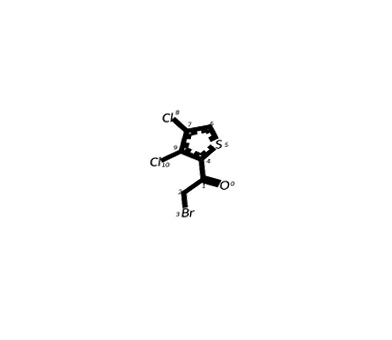 O=C(CBr)c1scc(Cl)c1Cl